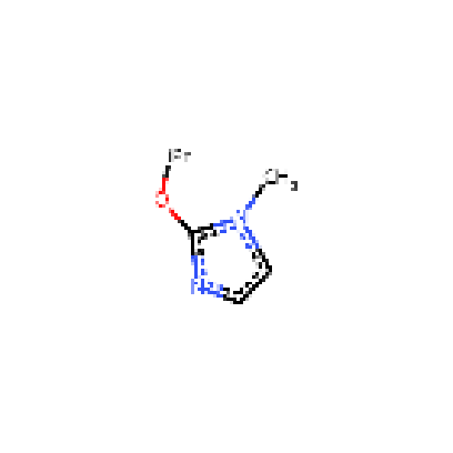 CC(C)Oc1nccn1C